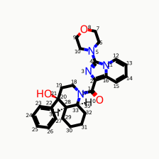 O=C(c1nc(N2CCOCC2)n2ccccc12)N1CC[C@@](O)(c2ccccc2)[C@@H]2CCCC[C@@H]21